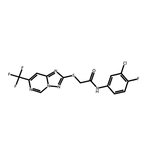 O=C(CSc1nc2cc(C(F)(F)F)ncn2n1)Nc1ccc(F)c(Cl)c1